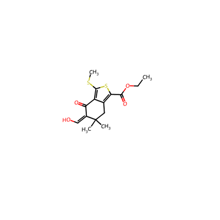 CCOC(=O)c1sc(SC)c2c1CC(C)(C)C(=CO)C2=O